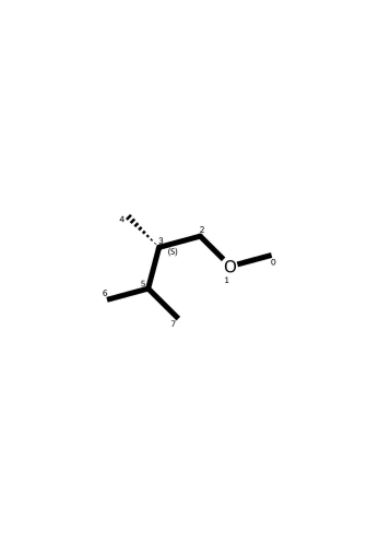 COC[C@@H](C)C(C)C